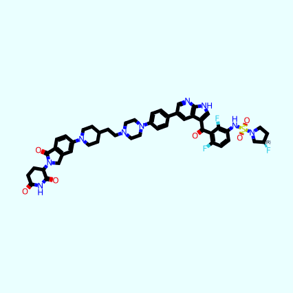 O=C1CCC(N2Cc3cc(N4CCC(CCN5CCN(c6ccc(-c7cnc8[nH]cc(C(=O)c9c(F)ccc(NS(=O)(=O)N%10CC[C@@H](F)C%10)c9F)c8c7)cc6)CC5)CC4)ccc3C2=O)C(=O)N1